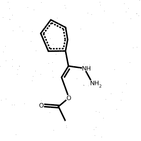 CC(=O)O/C=C(\NN)c1ccccc1